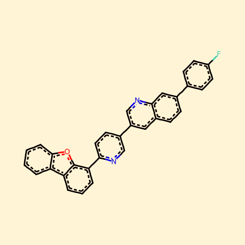 Fc1ccc(-c2ccc3cc(-c4ccc(-c5cccc6c5oc5ccccc56)nc4)cnc3c2)cc1